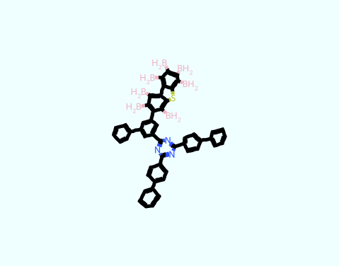 Bc1c(B)c(B)c2c(sc3c(B)c(-c4cc(-c5ccccc5)cc(-c5nc(-c6ccc(-c7ccccc7)cc6)nc(-c6ccc(-c7ccccc7)cc6)n5)c4)c(B)c(B)c32)c1B